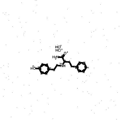 Cl.Cl.NC(=O)C(CCc1ccccc1)NCCc1ccc(O)cc1